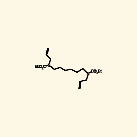 C=CCN(CCCCCCN(CC=C)C(=O)OCC)C(=O)OCC